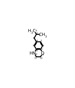 CC(C)Cc1ccc2c(c1)NCCO2